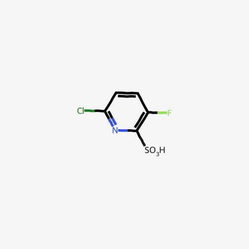 O=S(=O)(O)c1nc(Cl)ccc1F